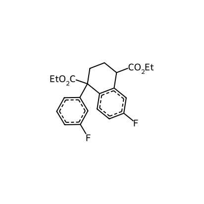 CCOC(=O)C1CCC(C(=O)OCC)(c2cccc(F)c2)c2ccc(F)cc21